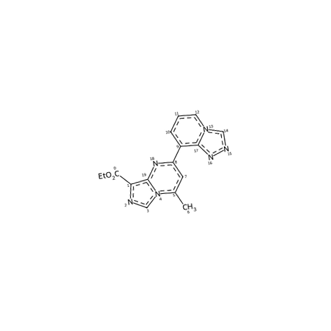 CCOC(=O)c1ncn2c(C)cc(-c3cccn4cnnc34)nc12